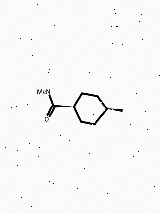 CNC(=O)[C@H]1CC[C@@H](C)CC1